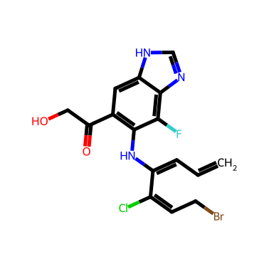 C=C/C=C(Nc1c(C(=O)CO)cc2[nH]cnc2c1F)\C(Cl)=C/CBr